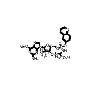 COc1nc(N)nc2c1ncn2C1O[C@H](COP(=O)(NC(C)C(=O)O)Oc2ccc3ncccc3c2)[C@@H](O)[C@@]1(C)O